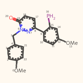 COc1ccc(Cn2nc(-c3ccc(OC)cc3P)ccc2=O)cc1